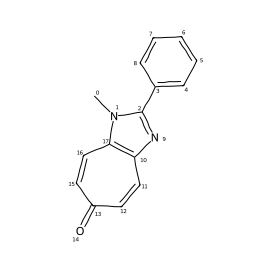 Cn1c(-c2ccccc2)nc2ccc(=O)ccc21